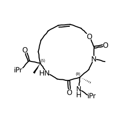 CC(C)N[C@]1(C)CN(C)C(=O)OCC=CCCC[C@@](C)(C(=O)C(C)C)NCC1=O